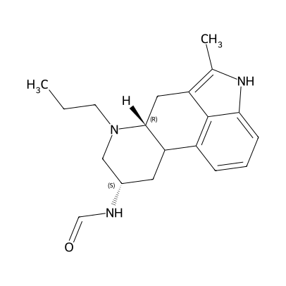 CCCN1C[C@@H](NC=O)CC2c3cccc4[nH]c(C)c(c34)C[C@H]21